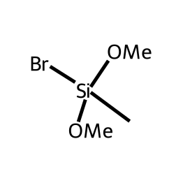 CO[Si](C)(Br)OC